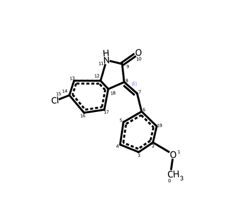 COc1cccc(/C=C2/C(=O)Nc3cc(Cl)ccc32)c1